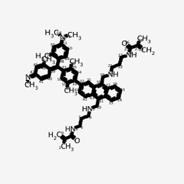 C=C(C)C(=O)NCCCNCc1c2ccccc2c(CNCCCNC(=O)C(=C)C)c2cc(-c3cc(C)c(/C(=C4C=C/C(=N\C)C=C\4C)c4ccc(N(C)C)cc4C)cc3C)ccc12